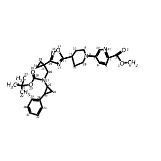 COC(=O)c1ccc(N2CCC(c3nc(C4(CN(C(=O)OC(C)(C)C)C5CC5c5ccccc5)CC4)no3)CC2)cn1